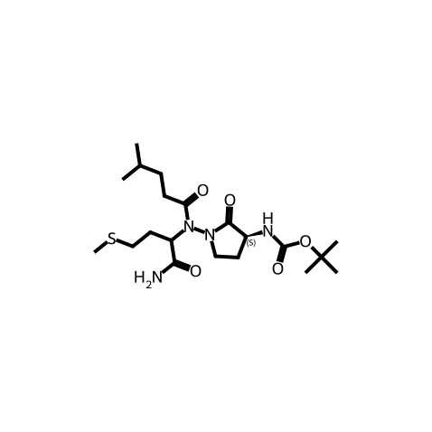 CSCCC(C(N)=O)N(C(=O)CCC(C)C)N1CC[C@H](NC(=O)OC(C)(C)C)C1=O